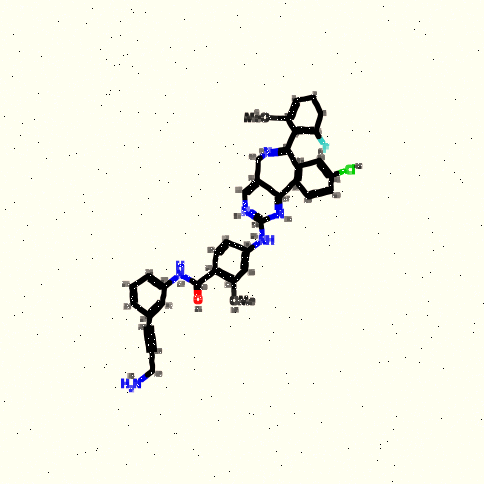 COC1=CCCC(F)=C1C1=NCc2cnc(Nc3ccc(C(=O)Nc4cccc(C#CCN)c4)c(OC)c3)nc2-c2ccc(Cl)cc21